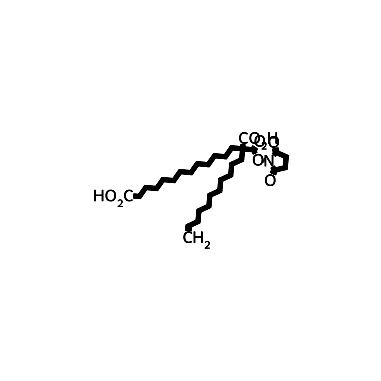 C=CCCCCCCCCCC(CCCCCCCCCCCCC(=O)O)(C(=O)O)C(=O)ON1C(=O)CCC1=O